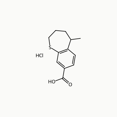 CC1CCCSc2cc(C(=O)O)ccc21.Cl